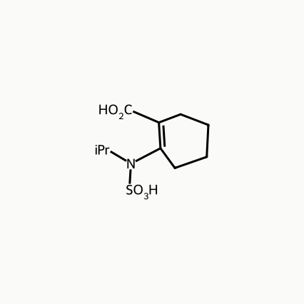 CC(C)N(C1=C(C(=O)O)CCCC1)S(=O)(=O)O